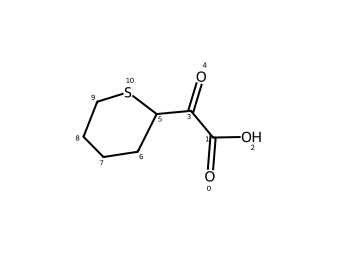 O=C(O)C(=O)C1CCCCS1